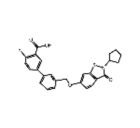 O=C(O)c1cc(-c2cccc(COc3ccc4c(=O)n(C5CCCC5)sc4c3)c2)ccc1F